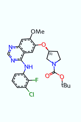 COc1cc2ncnc(Nc3cccc(Cl)c3F)c2cc1O[C@H]1CCN(C(=O)OC(C)(C)C)C1